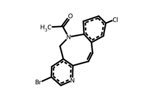 CC(=O)N1Cc2cc(Br)cnc2/C=C\c2cc(Cl)ccc21